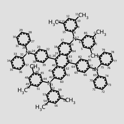 Cc1cc(C)cc(N(c2cc(C)cc(C)c2)c2ccc3c(-c4ccc(N(c5ccccc5)c5ccccc5)cc4)c4cc(N(c5cc(C)cc(C)c5)c5cc(C)cc(C)c5)ccc4c(-c4ccc(N(c5ccccc5)c5ccccc5)cc4)c3c2)c1